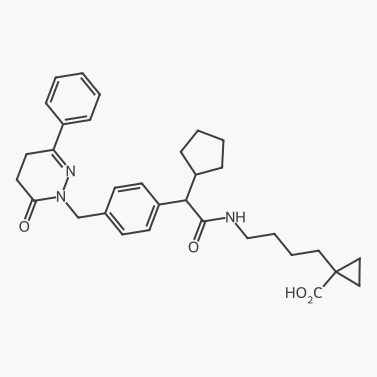 O=C(NCCCCC1(C(=O)O)CC1)C(c1ccc(CN2N=C(c3ccccc3)CCC2=O)cc1)C1CCCC1